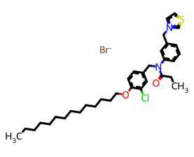 CCCCCCCCCCCCCCOc1ccc(CN(C(=O)CC)c2cccc(C[n+]3ccsc3)c2)cc1Cl.[Br-]